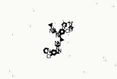 C[C@H]1CN(c2cc3c(cc2Cl)c(C2CC2n2cc(-n4ncc5cc(Cl)c(N6CCCCC6)cc54)cn2)nn3-c2cnn(C3CC3)c2)C[C@H]1CN(C)C1COC1